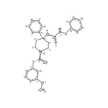 COc1cccc(CC(=O)N2CCC(OC(=O)NCc3ccccc3)(c3ccccc3)CC2)c1